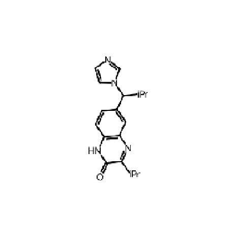 CC(C)c1nc2cc(C(C(C)C)n3ccnc3)ccc2[nH]c1=O